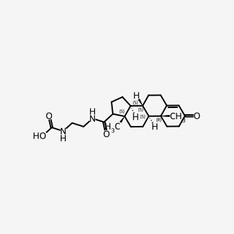 C[C@]12CCC(=O)C=C1CC[C@@H]1[C@@H]2CC[C@]2(C)C(C(=O)NCCNC(=O)O)CC[C@@H]12